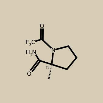 C[C@@]1(C(N)=O)CCCN1C(=O)C(F)(F)F